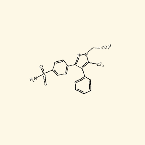 NS(=O)(=O)c1ccc(-c2nn(CC(=O)O)c(C(F)(F)F)c2-c2ccccc2)cc1